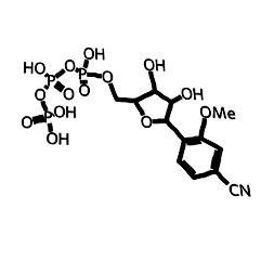 COc1cc(C#N)ccc1C1OC(COP(=O)(O)OP(=O)(O)OP(=O)(O)O)C(O)C1O